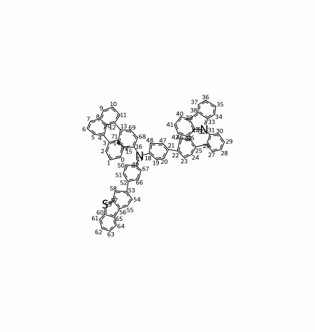 c1ccc(-c2cccc3cccc(-c4ccc(N(c5ccc(-c6ccc(-c7ccccc7-n7c8ccccc8c8ccccc87)cc6)cc5)c5ccc(-c6ccc7c(c6)sc6ccccc67)cc5)cc4)c23)cc1